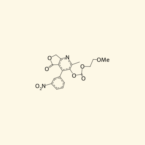 COCCOC(=O)Oc1c(C)nc2c(c1-c1cccc([N+](=O)[O-])c1)C(=O)OC2